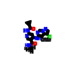 [2H]C([2H])([2H])NC(=O)c1cnc(NC(=O)C2CC2)cc1Nc1ncn2ncc(Cl)c2c1OC